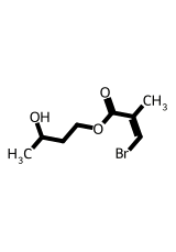 CC(=CBr)C(=O)OCCC(C)O